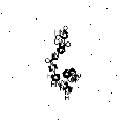 CS(=O)(=O)N1CCc2cccc(Nc3nc(Nc4ccc(N5CCN(C(=O)C6CN(c7ccc8c(c7)C(=O)N(C7CCC(=O)NC7=O)C8=O)C6)CC5)c(F)c4)nc4[nH]ccc34)c21